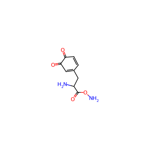 NOC(=O)C(N)CC1=CC(=O)C(=O)C=C1